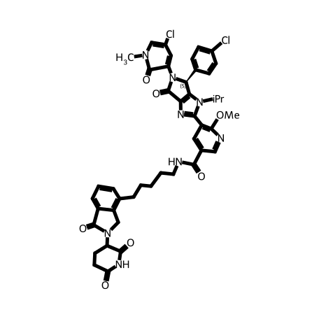 COc1ncc(C(=O)NCCCCCc2cccc3c2CN(C2CCC(=O)NC2=O)C3=O)cc1-c1nc2c(n1C(C)C)[C@H](c1ccc(Cl)cc1)N(c1cc(Cl)cn(C)c1=O)C2=O